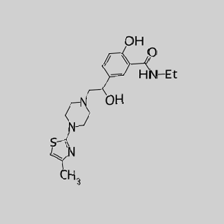 CCNC(=O)c1cc(C(O)CN2CCN(c3nc(C)cs3)CC2)ccc1O